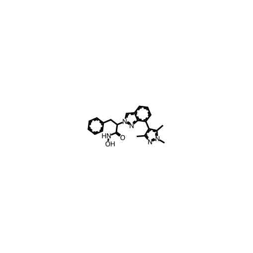 Cc1nn(C)c(C)c1-c1cccc2cn(C(Cc3ccccc3)C(=O)NO)nc12